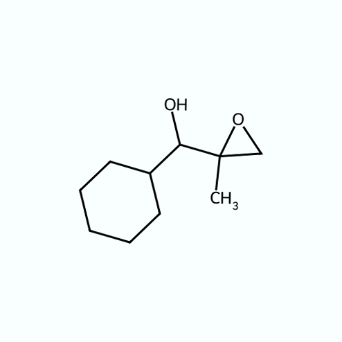 CC1(C(O)C2CCCCC2)CO1